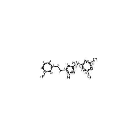 Fc1cccc(CCc2cc(Nc3nc(Cl)nc(Cl)n3)n[nH]2)c1